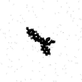 C=CCn1c(=O)c2cnc(Nc3ccc(N4CCN(C)CC4)cc3)nc2n1-c1ccc2ccccc2n1